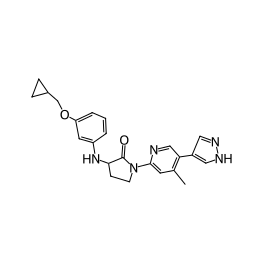 Cc1cc(N2CCC(Nc3cccc(OCC4CC4)c3)C2=O)ncc1-c1cn[nH]c1